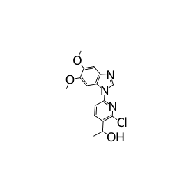 COc1cc2ncn(-c3ccc(C(C)O)c(Cl)n3)c2cc1OC